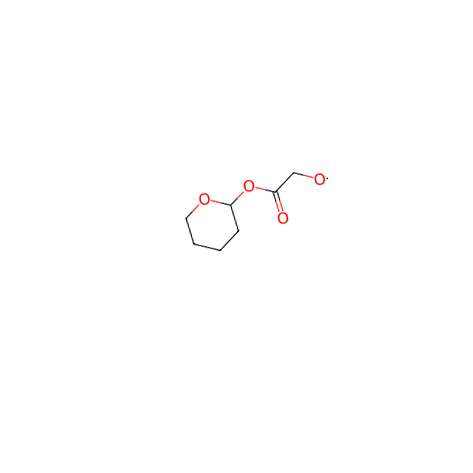 [O]CC(=O)OC1CCCCO1